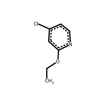 CCOc1cc(Cl)ccn1